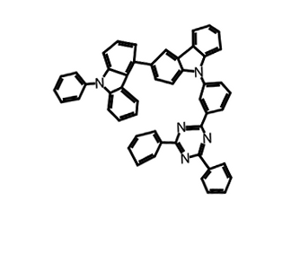 c1ccc(-c2nc(-c3ccccc3)nc(-c3cccc(-n4c5ccccc5c5cc(-c6cccc7c6c6ccccc6n7-c6ccccc6)ccc54)c3)n2)cc1